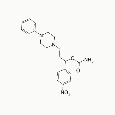 NC(=O)OC(CCN1CCN(c2ccccc2)CC1)c1ccc([N+](=O)[O-])cc1